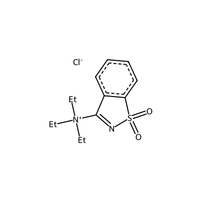 CC[N+](CC)(CC)C1=NS(=O)(=O)c2ccccc21.[Cl-]